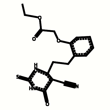 CCOC(=O)COc1ccccc1CCc1[nH]c(=S)[nH]c(=O)c1C#N